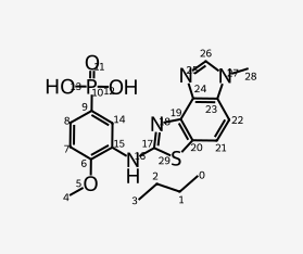 CCCC.COc1ccc(P(=O)(O)O)cc1Nc1nc2c(ccc3c2ncn3C)s1